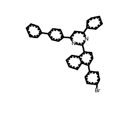 Brc1ccc(-c2ccc(-c3nc(-c4ccccc4)cc(-c4ccc(-c5ccccc5)cc4)n3)c3ccccc23)cc1